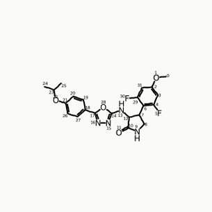 COc1cc(F)c(C2CNC(=O)C2Nc2nnc(-c3ccc(OC(C)C)cc3)o2)c(F)c1